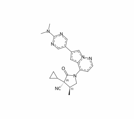 C[C@@H]1CN(c2ccnn3cc(-c4cnc(N(C)C)nc4)cc23)C(=O)[C@]1(C#N)C1CC1